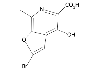 Cc1nc(C(=O)O)c(O)c2cc(Br)oc12